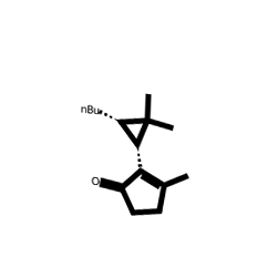 CCCC[C@H]1[C@@H](C2=C(C)CCC2=O)C1(C)C